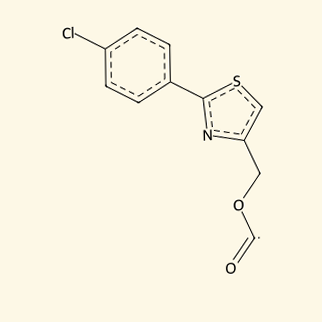 O=[C]OCc1csc(-c2ccc(Cl)cc2)n1